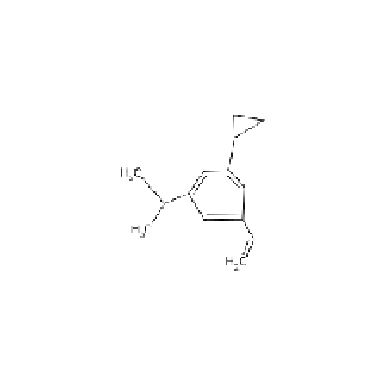 C=Cc1cc(C(C)C)cc(C2CC2)c1